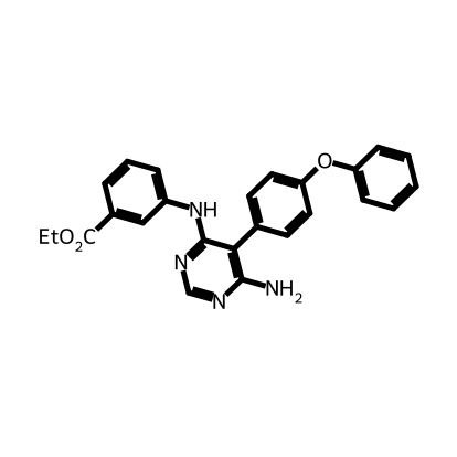 CCOC(=O)c1cccc(Nc2ncnc(N)c2-c2ccc(Oc3ccccc3)cc2)c1